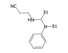 CCC(NCCC#N)N(CC)c1ccccc1